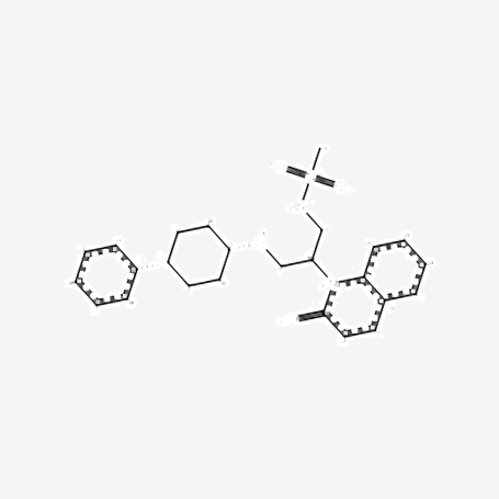 CS(=O)(=O)NCC(CO[C@H]1CC[C@@H](c2ccccc2)CC1)n1c(=O)ccc2ccccc21